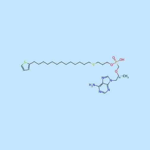 C[C@H](Cn1cnc2c(N)ncnc21)OCP(=O)(O)OCCCSCCCCCCCCCCCCCc1cccs1